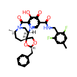 Cc1cc(F)c(CNC(=O)c2cn3c(c(O)c2=O)C(=O)N2C[C@@H]3[C@]3(CC[C@@H]2C)CO[C@@H](Cc2ccccc2)O3)c(F)c1